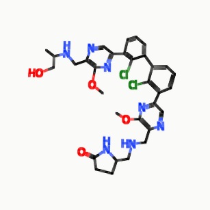 COc1nc(-c2cccc(-c3cccc(-c4cnc(CNC(C)CO)c(OC)n4)c3Cl)c2Cl)cnc1CNCC1CCC(=O)N1